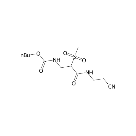 CCCCOC(=O)NCC(C(=O)NCCC#N)S(C)(=O)=O